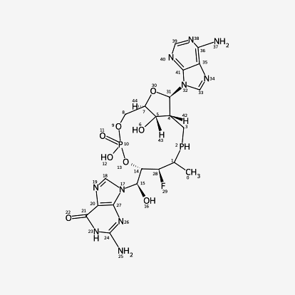 CC1PC[C@@H]2[C@H](O)[C@@H](COP(=O)(O)O[C@@H]([C@@H](O)n3cnc4c(=O)[nH]c(N)nc43)[C@@H]1F)O[C@H]2n1cnc2c(N)ncnc21